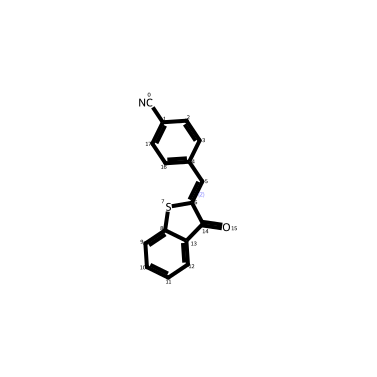 N#Cc1ccc(/C=C2\Sc3ccccc3C2=O)cc1